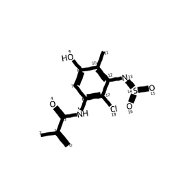 C=C(C)C(=O)Nc1cc(O)c(C)c(N=S(=O)=O)c1Cl